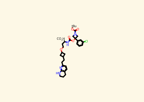 CC(C)(C)OC(=O)N1CC(OC(=O)N[C@@H](CCOC2CC(CCc3ccc4c(n3)NCCC4)C2)C(=O)O)(c2cccc(Cl)c2)C1